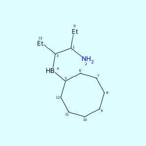 CCC(N)C(BC1CCCCCCC1)CC